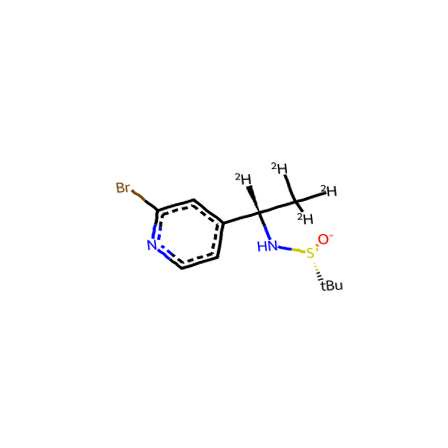 [2H]C([2H])([2H])[C@]([2H])(N[S@+]([O-])C(C)(C)C)c1ccnc(Br)c1